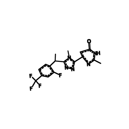 Cc1nc(-c2nnc(C(C)c3ccc(C(F)(F)F)cc3F)n2C)cc(=O)[nH]1